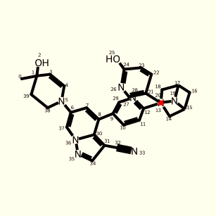 CC1(O)C=CN(c2cc(-c3ccc(N4CC5CC(C4)N5Cc4ccc(O)nc4)nc3)c3c(C#N)cnn3c2)CC1